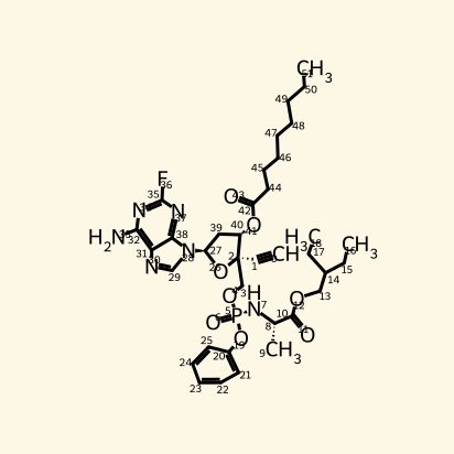 C#C[C@]1(CO[P@@](=O)(N[C@@H](C)C(=O)OCC(CC)CC)Oc2ccccc2)O[C@@H](n2cnc3c(N)nc(F)nc32)C[C@@H]1OC(=O)CCCCCCCC